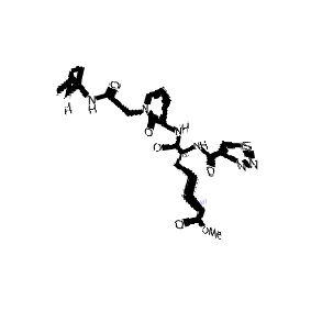 COC(=O)/C=C/CC[C@H](NC(=O)c1csnn1)C(=O)Nc1cccn(CC(=O)NC23CC(C2)[C@@H]3C)c1=O